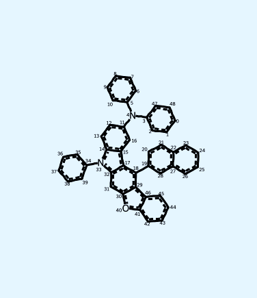 c1ccc(N(c2ccccc2)c2ccc3c(c2)c2c(-c4ccc5ccccc5c4)c4c(cc2n3-c2ccccc2)oc2ccccc24)cc1